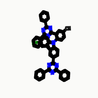 N#Cc1ccc(-n2c3ccc(Br)cc3c3cc(-c4nc(-c5ccccc5)nc(-c5ccccc5)n4)ccc32)c(-c2nc(-c3ccccc3)nc(-c3ccccc3)n2)c1